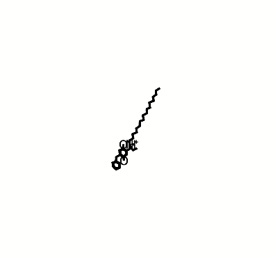 CCCCCCCCCCCCCCCCCC[N+](C)(C)C(CC)c1cc2c(cc1O)Cc1ccccc1O2